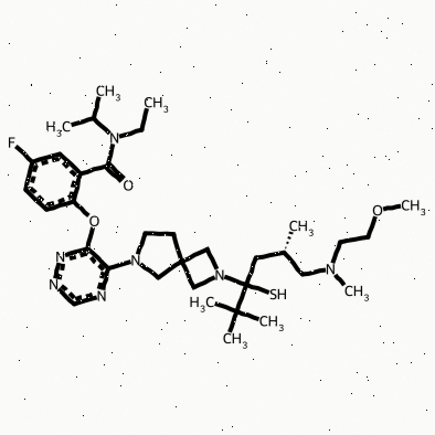 CCN(C(=O)c1cc(F)ccc1Oc1nncnc1N1CCC2(C1)CN(C(S)(C[C@H](C)CN(C)CCOC)C(C)(C)C)C2)C(C)C